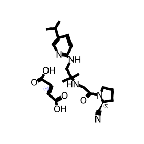 CC(C)c1ccc(NCC(C)(C)NCC(=O)N2CCC[C@H]2C#N)nc1.O=C(O)/C=C/C(=O)O